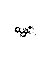 Nc1oc2c(-c3ccccc3)nccc2c1N